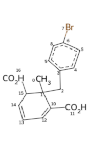 CC1(Cc2ccc(Br)cc2)C(C(=O)O)=CC=CC1C(=O)O